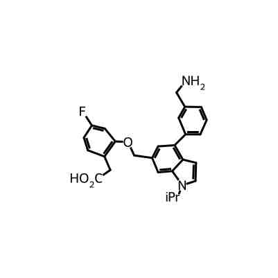 CC(C)n1ccc2c(-c3cccc(CN)c3)cc(COc3cc(F)ccc3CC(=O)O)cc21